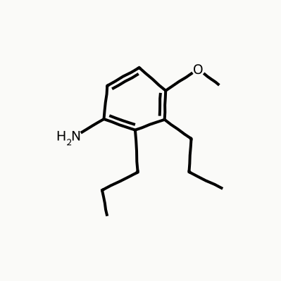 CCCc1c(N)ccc(OC)c1CCC